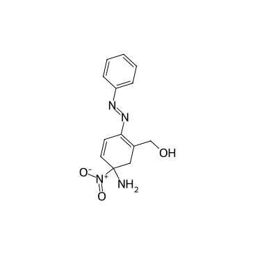 NC1([N+](=O)[O-])C=CC(N=Nc2ccccc2)=C(CO)C1